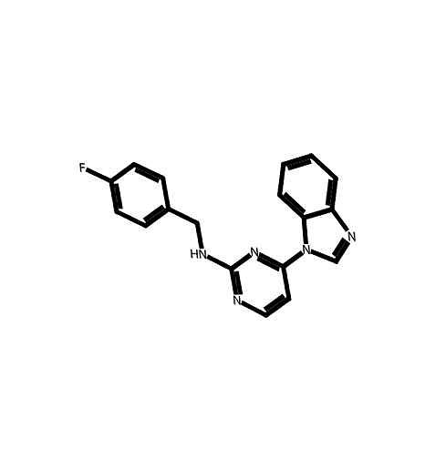 Fc1ccc(CNc2nccc(-n3cnc4ccccc43)n2)cc1